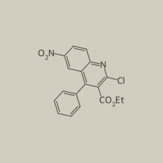 CCOC(=O)c1c(Cl)nc2ccc([N+](=O)[O-])cc2c1-c1ccccc1